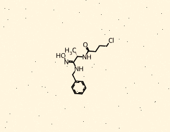 C[C@H](NC(=O)CCCCl)C(=NO)NCc1ccccc1